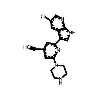 C#Cc1cc(-c2c[nH]c3ncc(Cl)cc23)nc(N2CCNCC2)c1